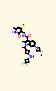 COC1CN(c2ccc3c(C(=O)NCc4c(SC)cc(C)[nH]c4=O)c(C)n([C@H](C)C4CC(NC5CC(F)(F)C5)C4)c3c2)C1